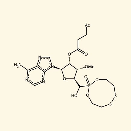 CO[C@H]1[C@@H](OC(=O)CCC(C)=O)[C@H](n2cnc3c(N)ncnc32)O[C@@H]1C(O)P1(=O)OCCSSCCO1